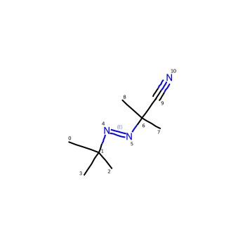 CC(C)(C)/N=N/C(C)(C)C#N